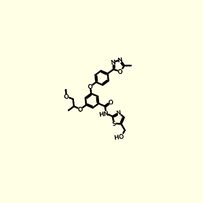 COCC(C)Oc1cc(Oc2ccc(-c3nnc(C)o3)cc2)cc(C(=O)Nc2ncc(CO)s2)c1